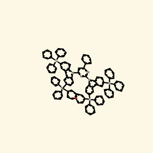 c1ccc(-c2cc(-n3c4ccc([Si](c5ccccc5)(c5ccccc5)c5ccccc5)cc4c4cc([Si](c5ccccc5)(c5ccccc5)c5ccccc5)ccc43)nc(-n3c4ccc([Si](c5ccccc5)(c5ccccc5)c5ccccc5)cc4c4cc([Si](c5ccccc5)(c5ccccc5)c5ccccc5)ccc43)n2)cc1